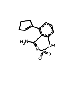 NC1=NS(=O)(=O)Nc2cccc(C3=CCCC3)c21